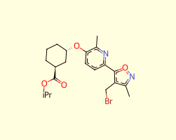 Cc1nc(-c2onc(C)c2CBr)ccc1O[C@H]1CCC[C@H](C(=O)OC(C)C)C1